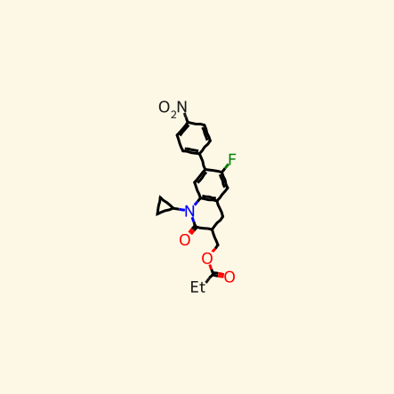 CCC(=O)OCC1Cc2cc(F)c(-c3ccc([N+](=O)[O-])cc3)cc2N(C2CC2)C1=O